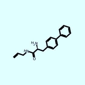 C=CCNC(=O)[C@@H](N)Cc1ccc(-c2ccccc2)cc1